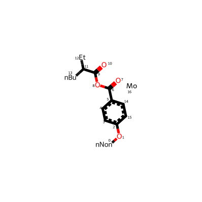 CCCCCCCCCOc1ccc(C(=O)OC(=O)C(CC)CCCC)cc1.[Mo]